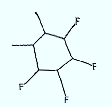 CC1C(C)C(F)C(F)C(F)C1F